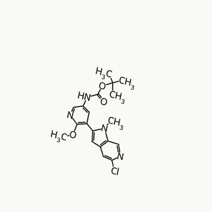 COc1ncc(NC(=O)OC(C)(C)C)cc1-c1cc2cc(Cl)ncc2n1C